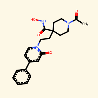 CC(=O)N1CCC(CCn2ccc(-c3ccccc3)cc2=O)(C(=O)NO)CC1